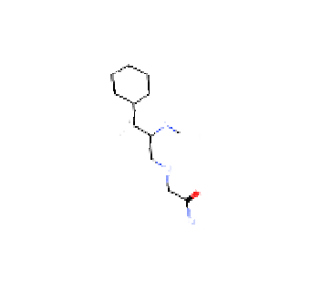 CC(C)(C)[C@H](C1CCCCC1)C(CNCC(N)=O)NC(=O)O